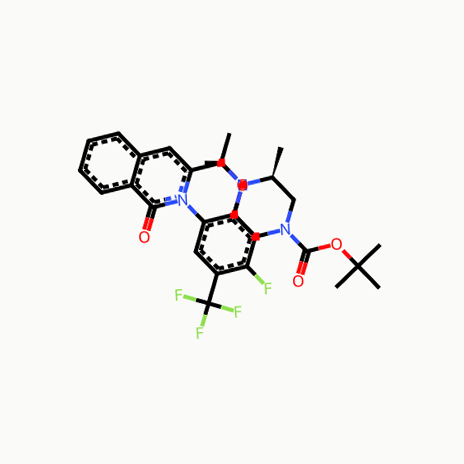 CC(C)Oc1cc(F)c(C(F)(F)F)cc1-n1c(CN2CCN(C(=O)OC(C)(C)C)C[C@@H]2C)cc2ccccc2c1=O